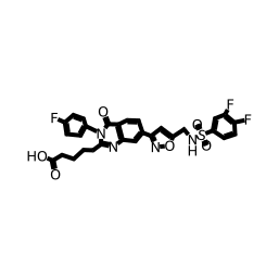 O=C(O)CCCCc1nc2cc(-c3cc(CNS(=O)(=O)c4ccc(F)c(F)c4)on3)ccc2c(=O)n1-c1ccc(F)cc1